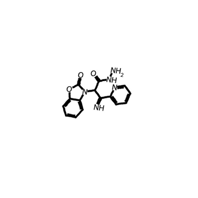 N=C(c1ccccn1)C(C(=O)NN)n1c(=O)oc2ccccc21